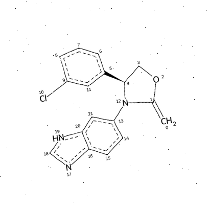 C=C1OC[C@H](c2cccc(Cl)c2)N1c1ccc2nc[nH]c2c1